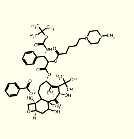 C/C1=C(/C(C)(C)O)[C@@H](O)C(=O)[C@@]2(C)C([C@H](OC(=O)c3ccccc3)C[C@@H]1OC(=O)[C@H](OC(=O)CCCCN1CCN(C)CC1)[C@@H](NC(=O)OC(C)(C)C)c1ccccc1)[C@]1(O)CO[C@@H]1C[C@@H]2O